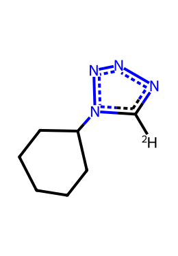 [2H]c1nnnn1C1CCCCC1